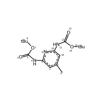 Cc1cc(NC(=O)OC(C)(C)C)nc(NC(=O)OC(C)(C)C)c1